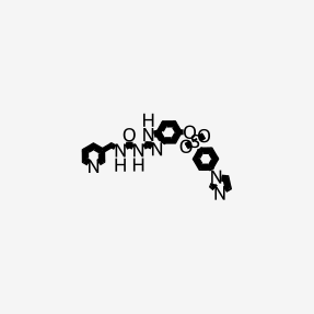 O=C(NCc1cccnc1)Nc1nc2cc(OS(=O)(=O)c3ccc(-n4ccnc4)cc3)ccc2[nH]1